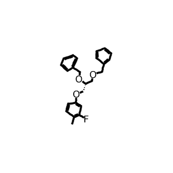 Cc1ccc(OC[C@@H](COCc2ccccc2)OCc2ccccc2)cc1F